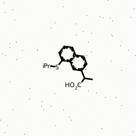 CC(C)Sc1cccc2ccc(C(C)C(=O)O)cc12